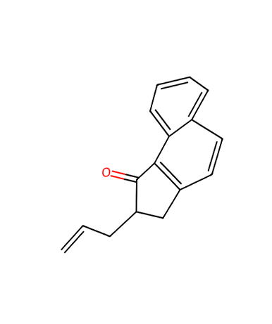 C=CCC1Cc2ccc3ccccc3c2C1=O